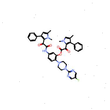 Cc1cn(C)c(C(=O)C(=O)Oc2cc(NC(=O)C(=O)c3c(-c4ccccc4)cc(C)n3C)ccc2N2CCN(c3ncc(F)cn3)CC2)c1-c1ccccc1